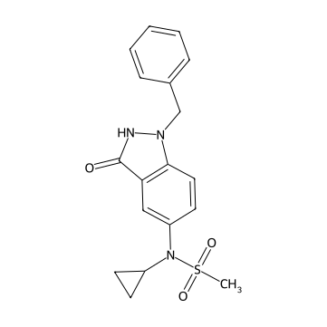 CS(=O)(=O)N(c1ccc2c(c1)c(=O)[nH]n2Cc1ccccc1)C1CC1